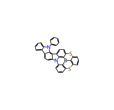 c1ccc(-n2c3ccccc3c3ccc4c(c5ccc6c7c5n4-c4cccc5c4B7c4c(cccc4S6)S5)c32)cc1